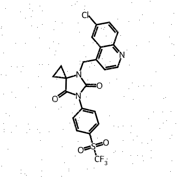 O=C1N(c2ccc(S(=O)(=O)C(F)(F)F)cc2)C(=O)C2(CC2)N1Cc1ccnc2ccc(Cl)cc12